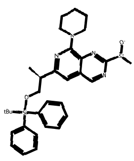 C[C@H](CO[Si](c1ccccc1)(c1ccccc1)C(C)(C)C)c1cc2cnc([S+](C)[O-])nc2c(N2CCCCC2)n1